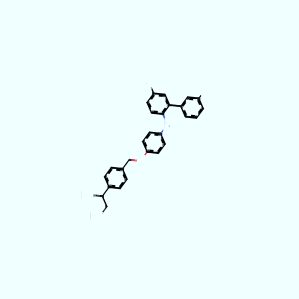 Cc1cccc(-c2cc(C)ccc2Nc2ccc(OCc3ccc(C(CC(C)(C)C)C(C)(C)C)cc3)cc2)c1